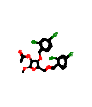 CO[C@H]1O[C@H](COCc2ccc(Cl)cc2Cl)[C@@H](OCc2ccc(Cl)cc2Cl)[C@H]1OC(C)=O